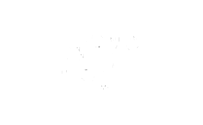 CCC1OC(=O)N(Cc2ccc(NC(=O)c3cccnc3)cc2)N=C1c1ccc(OC)c(OCF)c1